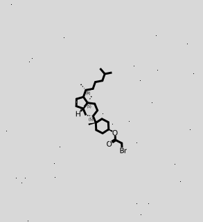 CC(C)CCC[C@@H](C)C1CC[C@H]2C[C@@H]([C@]3(C)CC[C@@H](OC(=O)CBr)CC3)CC[C@]12C